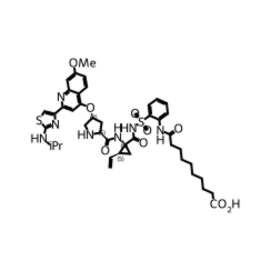 C=C[C@@H]1C[C@@]1(NC(=O)[C@@H]1C[C@@H](Oc2cc(-c3csc(NC(C)C)n3)nc3cc(OC)ccc23)CN1)C(=O)NS(=O)(=O)c1ccccc1NC(=O)CCCCCCCCC(=O)O